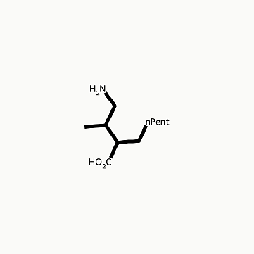 CCCCCCC(C(=O)O)C(C)CN